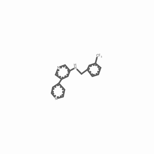 FC(F)(F)c1cccc(CNc2cncc(-c3ccncc3)c2)c1